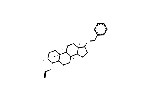 C=CC[C@H]1C2CC[C@@H]3[C@H](CC[C@]4(C)C(OCc5ccccc5)CC[C@@H]34)[C@@]2(C)CC[C@H]1O